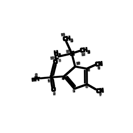 CCCS(=O)(=O)C1=CC(C#N)=C(C#N)C1[Si](C)(C)C